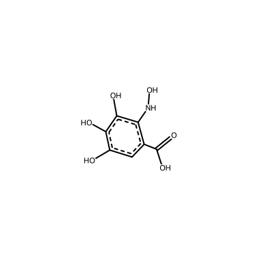 O=C(O)c1cc(O)c(O)c(O)c1NO